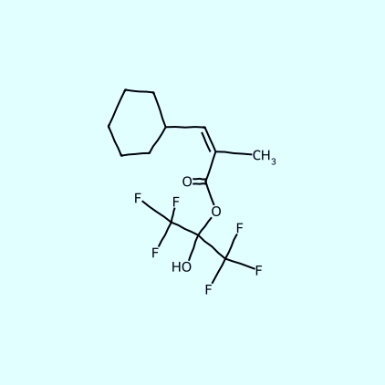 CC(=CC1CCCCC1)C(=O)OC(O)(C(F)(F)F)C(F)(F)F